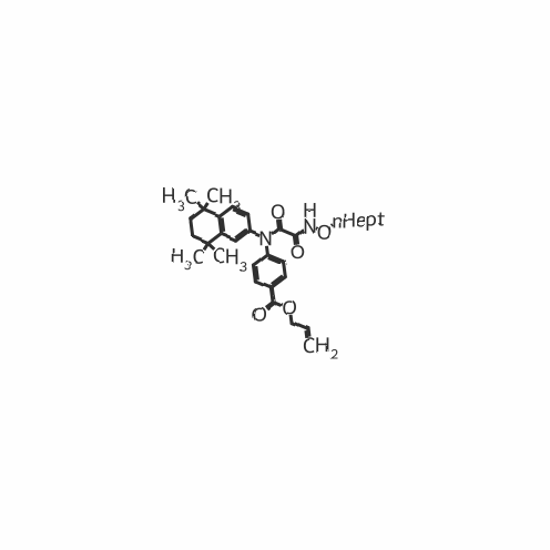 C=CCOC(=O)c1ccc(N(C(=O)C(=O)NOCCCCCCC)c2ccc3c(c2)C(C)(C)CCC3(C)C)cc1